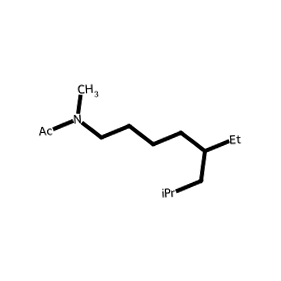 CCC(CCCCN(C)C(C)=O)CC(C)C